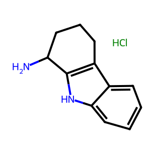 Cl.NC1CCCc2c1[nH]c1ccccc21